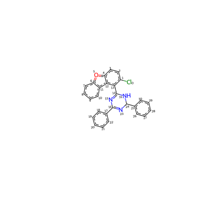 Clc1ccc2oc3ccccc3c2c1C1=NC(c2ccccc2)=NC(c2ccccc2)N1